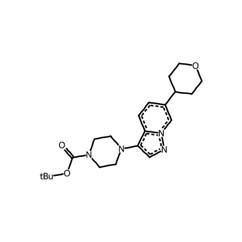 CC(C)(C)OC(=O)N1CCN(c2cnn3cc(C4CCOCC4)ccc23)CC1